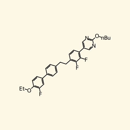 CCCCOc1ncc(-c2ccc(CCc3ccc(-c4ccc(OCC)c(F)c4)cc3)c(F)c2F)cn1